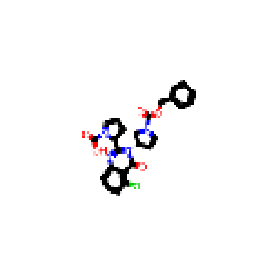 O=C(OCc1ccccc1)N1CC[C@H](n2c(C3CCCN3C(=O)O)nc3cccc(Cl)c3c2=O)C1